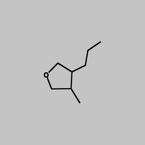 CCCC1COCC1C